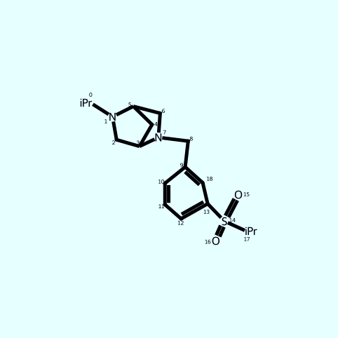 CC(C)N1CC2CC1CN2Cc1cccc(S(=O)(=O)C(C)C)c1